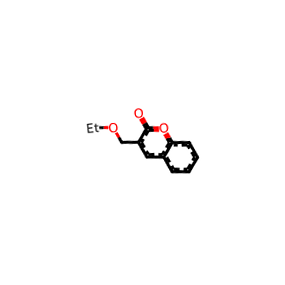 CCOCc1cc2ccccc2oc1=O